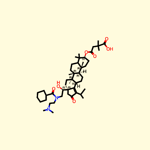 CC(C)C1=C2[C@H]3CC[C@@H]4[C@@]5(C)CC[C@H](OC(=O)CC(C)(C)C(=O)O)C(C)(C)C5CC[C@@]4(C)[C@]3(C)CC[C@@]2([C@H](O)CN(CCN(C)C)C(=O)C2CCCCC2)CC1=O